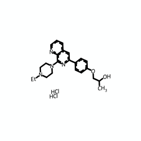 CCN1CCN(c2nc(-c3ccc(OCC(C)O)cc3)cc3cccnc23)CC1.Cl.Cl